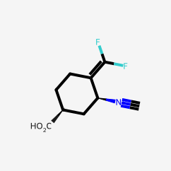 C#[N+][C@H]1C[C@@H](C(=O)O)CCC1=C(F)F